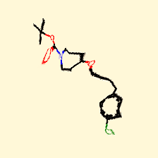 CC(C)(C)OC(=O)N1CCC(OCCc2ccc(Cl)cc2)CC1